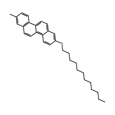 CCCCCCCCCCCCSc1ccc2c(ccc3c4ccc(C)cc4ccc23)c1